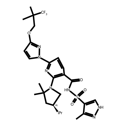 Cc1n[nH]cc1S(=O)(=O)NC(=O)c1ccc(-n2ccc(OCC(C)(C)C(F)(F)F)n2)nc1N1C[C@@H](C(C)C)CC1(C)C